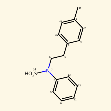 Cc1ccc(CCN(c2ccccc2)S(=O)(=O)O)cc1